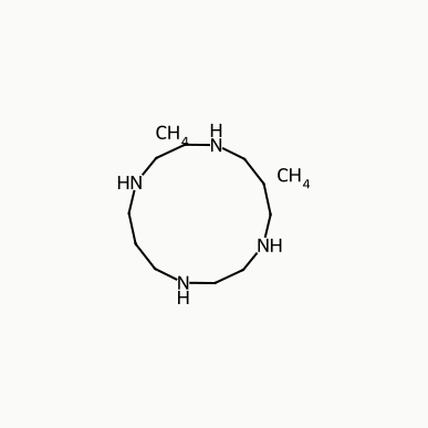 C.C.C1CNCCNCCCNCCNC1